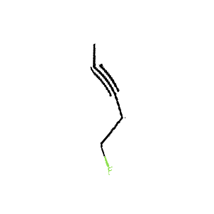 CC#C[CH]CF